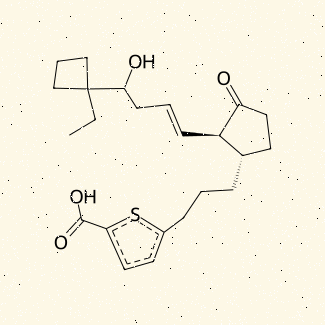 CCC1(C(O)C/C=C/[C@H]2C(=O)CC[C@@H]2CCCc2ccc(C(=O)O)s2)CCC1